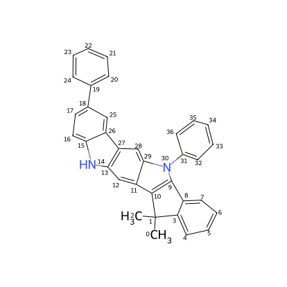 CC1(C)c2ccccc2-c2c1c1cc3[nH]c4ccc(-c5ccccc5)cc4c3cc1n2-c1ccccc1